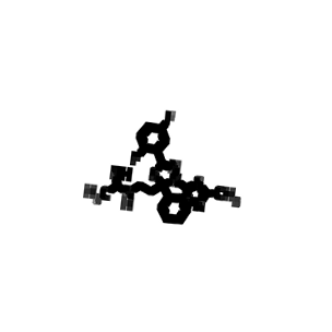 CC(=N)NCCC1(c2ccccc2)SC(c2cc(F)ccc2F)=NN1c1nnc(C)s1